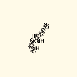 O=C(NCC(O)C1Cc2ccc(OCc3cnco3)cc2CN1)c1ccnc(NC2CCC2)c1